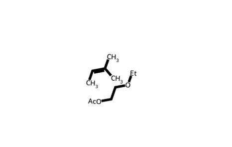 CC=C(C)C.CCOCCOC(C)=O